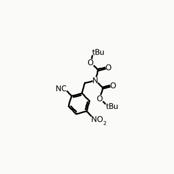 CC(C)(C)OC(=O)N(Cc1cc([N+](=O)[O-])ccc1C#N)C(=O)OC(C)(C)C